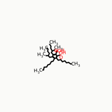 CCCCCCCCc1c(CC(CC)CCCC)c(CC(CC)CCCC)c(C(=O)O)c(C(=O)O)c1CCCCCCCC